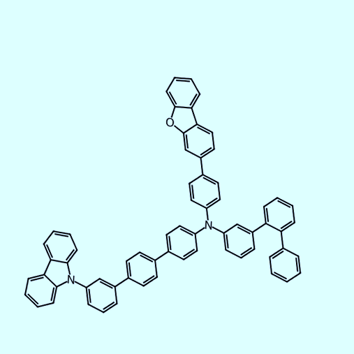 c1ccc(-c2ccccc2-c2cccc(N(c3ccc(-c4ccc(-c5cccc(-n6c7ccccc7c7ccccc76)c5)cc4)cc3)c3ccc(-c4ccc5c(c4)oc4ccccc45)cc3)c2)cc1